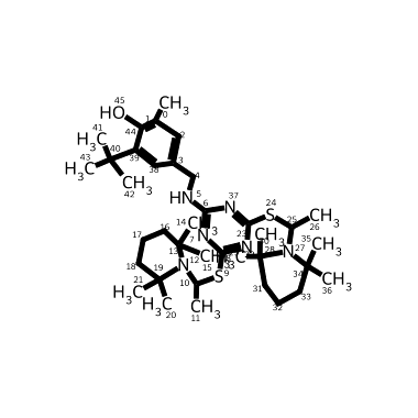 Cc1cc(CNc2nc(SC(C)N3C(C)(C)CCCC3(C)C)nc(SC(C)N3C(C)(C)CCCC3(C)C)n2)cc(C(C)(C)C)c1O